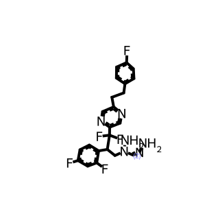 N/N=C\N(N)CC(c1ccc(F)cc1F)C(F)(F)c1cnc(CCc2ccc(F)cc2)cn1